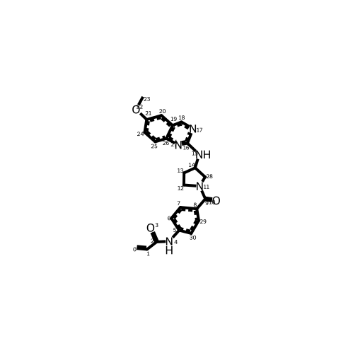 C=CC(=O)Nc1ccc(C(=O)N2CCC(Nc3ncc4cc(OC)ccc4n3)C2)cc1